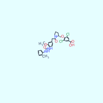 COc1cc(CC(=O)N2CCC[C@H]2COc2c(Cl)cc(C(=O)O)cc2Cl)ccc1NC(=O)Nc1ccccc1C